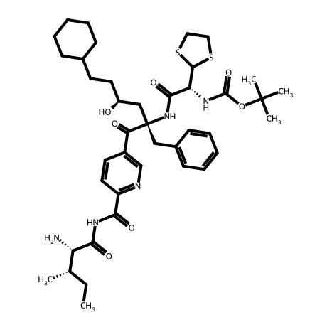 CC[C@H](C)[C@H](N)C(=O)NC(=O)c1ccc(C(=O)[C@](Cc2ccccc2)(C[C@@H](O)CCC2CCCCC2)NC(=O)[C@@H](NC(=O)OC(C)(C)C)C2SCCS2)cn1